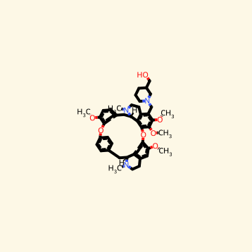 COc1ccc2cc1Oc1ccc(cc1)C[C@H]1c3cc(c(OC)cc3CCN1C)Oc1c(OC)c(OC)c(CN3CCCC(CO)C3)c3c1[C@H](C2)N(C)CC3